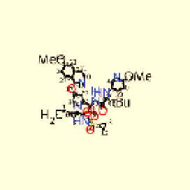 C=C[C@@H]1C[C@@]1(C(=O)NS(=O)(=O)C1CC1)N1C[C@H](Oc2nccc3cc(OC)ccc23)C[C@H]1C(=O)NC(=O)[C@H](Nc1ccc(OC)nc1)C(C)(C)C